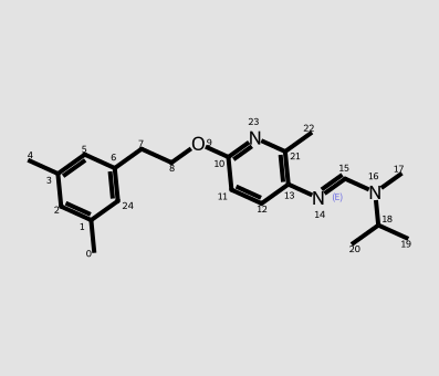 Cc1cc(C)cc(CCOc2ccc(/N=C/N(C)C(C)C)c(C)n2)c1